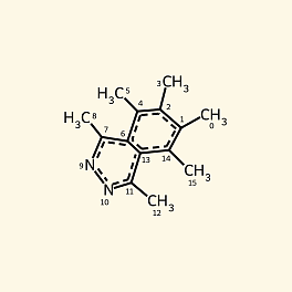 Cc1c(C)c(C)c2c(C)nnc(C)c2c1C